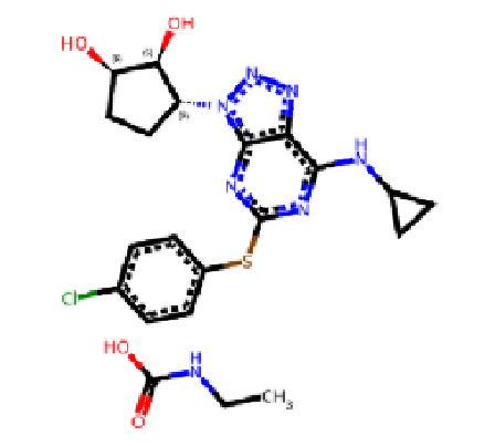 CCNC(=O)O.O[C@@H]1[C@H](O)CC[C@H]1n1nnc2c(NC3CC3)nc(Sc3ccc(Cl)cc3)nc21